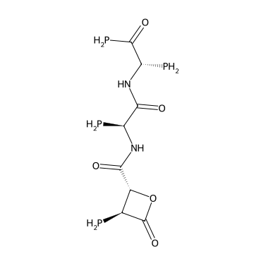 O=C(P)[C@H](P)NC(=O)[C@H](P)NC(=O)[C@@H]1OC(=O)[C@H]1P